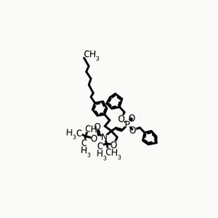 CCCCCCCCc1ccc(CCC2(/C=C/P(=O)(OCc3ccccc3)OCc3ccccc3)COC(C)(C)N2C(=O)OC(C)(C)C)cc1